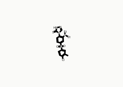 CCN(CC)c1cc(S(=O)(=O)c2ccc(Cl)c(C)c2)ccc1-n1cn[nH]c1=S